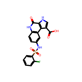 O=C(O)c1c[nH]c2c(=O)[nH]c3ccc(NS(=O)(=O)c4ccccc4F)cc3c12